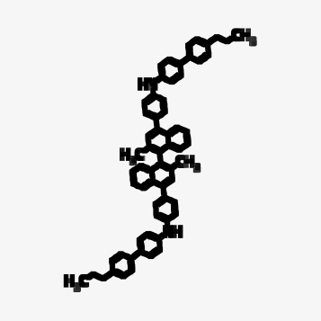 CCCc1ccc(-c2ccc(Nc3ccc(-c4cc(C)c(-c5c(C)cc(-c6ccc(Nc7ccc(-c8ccc(CCC)cc8)cc7)cc6)c6ccccc56)c5ccccc45)cc3)cc2)cc1